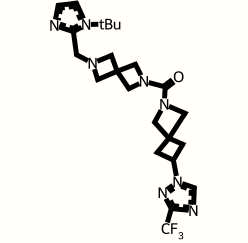 CC(C)(C)n1ccnc1CN1CC2(C1)CN(C(=O)N1CC3(CC(n4cnc(C(F)(F)F)n4)C3)C1)C2